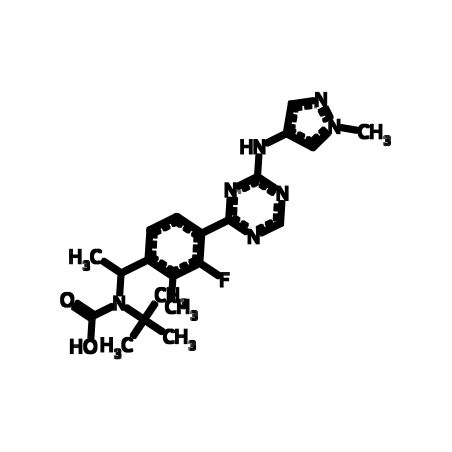 Cc1c(C(C)N(C(=O)O)C(C)(C)C)ccc(-c2ncnc(Nc3cnn(C)c3)n2)c1F